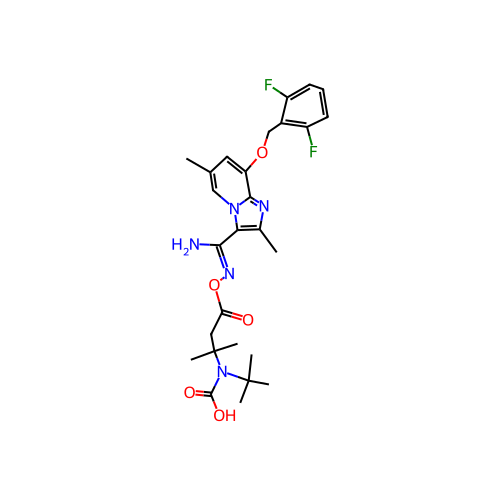 Cc1cc(OCc2c(F)cccc2F)c2nc(C)c(/C(N)=N/OC(=O)CC(C)(C)N(C(=O)O)C(C)(C)C)n2c1